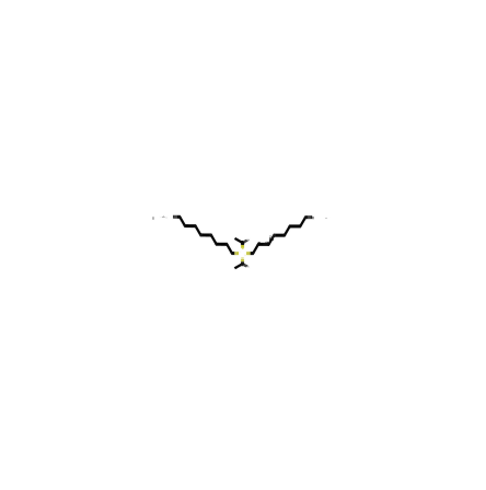 CCCCCCCCCCCCCCCCCCS(CCCCCCCCCCCCCCCCCC)(C(C)C(=O)O)C(C)C(=O)O